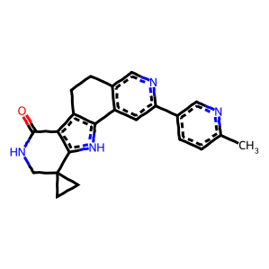 Cc1ccc(-c2cc3c(cn2)CCc2c-3[nH]c3c2C(=O)NCC32CC2)cn1